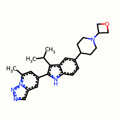 Cc1cc(-c2[nH]c3ccc(C4CCN(C5COC5)CC4)cc3c2C(C)C)cc2cnnn12